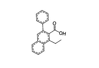 CCc1c(C(=O)O)c(-c2ccccc2)cc2ccccc12